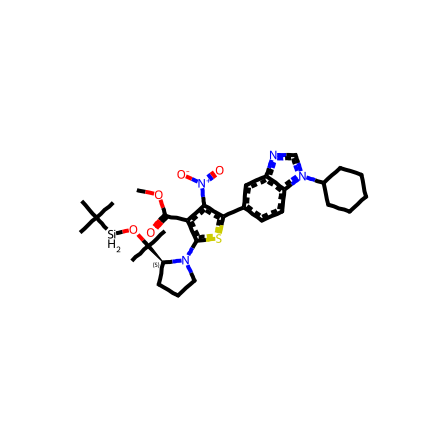 COC(=O)c1c(N2CCC[C@H]2C(C)(C)O[SiH2]C(C)(C)C)sc(-c2ccc3c(c2)ncn3C2CCCCC2)c1[N+](=O)[O-]